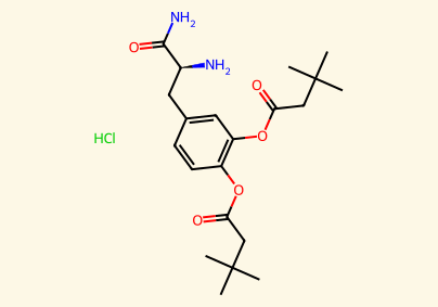 CC(C)(C)CC(=O)Oc1ccc(C[C@H](N)C(N)=O)cc1OC(=O)CC(C)(C)C.Cl